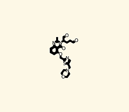 Cc1nc2cccc(OCc3ncc(CN4CCOCC4)s3)c2c(=O)n1C(C=O)CCC=O